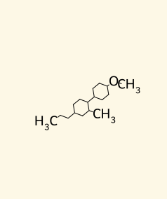 CCCC1CCC(C2CCC(OC)CC2)C(C)C1